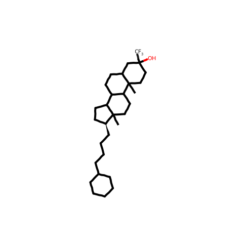 CC12CCC(O)(C(F)(F)F)CC1CCC1C2CCC2(C)C1CC[C@@H]2CCCCC1CCCCC1